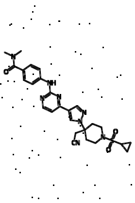 CN(C)C(=O)c1ccc(Nc2nccc(-c3cnn(C4(CC#N)CCN(S(=O)(=O)C5CC5)CC4)c3)n2)cc1